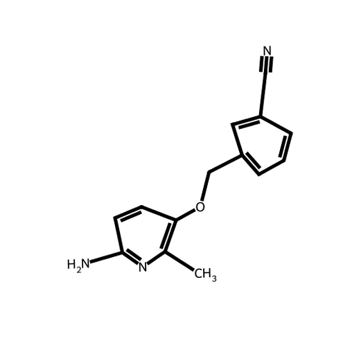 Cc1nc(N)ccc1OCc1cccc(C#N)c1